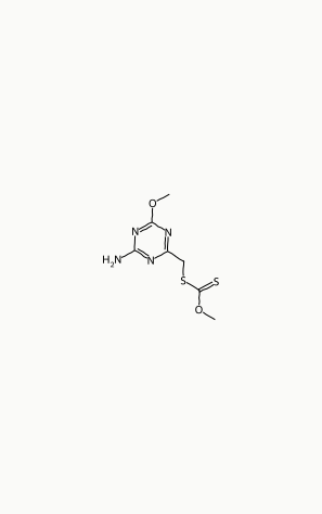 COC(=S)SCc1nc(N)nc(OC)n1